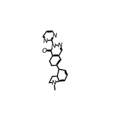 CN1CCC2C1=CC=CC2C1=Cc2cnn(-c3ncccn3)c(=O)c2CC1